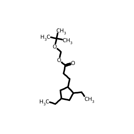 CCC1CC(CC)C(CCC(=O)OCOC(C)(C)C)C1